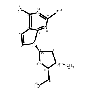 C[C@H]1C[C@H](n2ccc3c(N)nc(F)nc32)O[C@@H]1CO